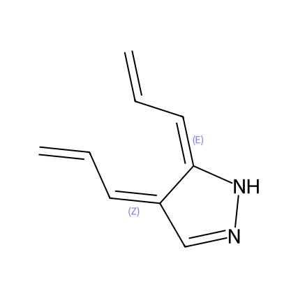 C=C/C=c1/cn[nH]/c1=C/C=C